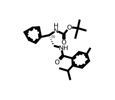 Cc1ccc(C(C)C)c(C(=O)NC[C@@H](NC(=O)OC(C)(C)C)c2ccccc2)c1